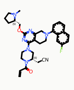 C=CC(=O)N1CCN(c2nc(OC[C@@H]3CCCN3C)nc3c2CCN(c2cccc4ccc(F)cc24)C3)C[C@@H]1CC#N